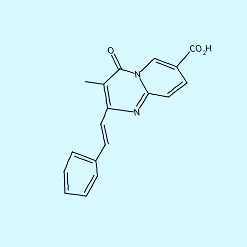 Cc1c(C=Cc2ccccc2)nc2ccc(C(=O)O)cn2c1=O